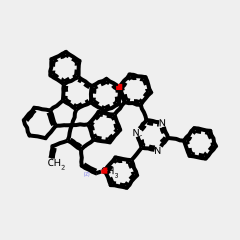 C=CC1=C(/C=C\C)c2ccc(-c3ccccc3-c3nc(-c4ccccc4)nc(-c4ccccc4)n3)cc2C12C1=C(C=CCC1)c1c2c2ccccc2c2ccccc12